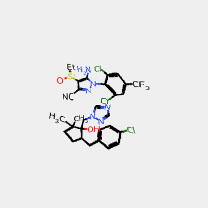 CC1(C)CCC(Cc2ccc(Cl)cc2)C1(O)Cn1cncn1.CC[S+]([O-])c1c(C#N)nn(-c2c(Cl)cc(C(F)(F)F)cc2Cl)c1N